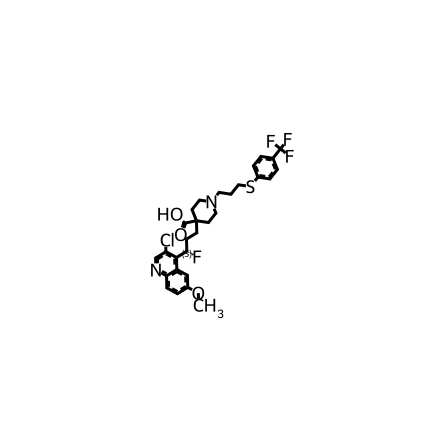 COc1ccc2ncc(Cl)c([C@@H](F)CCC3(C(=O)O)CCN(CCCSc4ccc(C(F)(F)F)cc4)CC3)c2c1